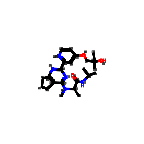 CC(C)NC(=O)[C@@H](C)N(C)c1nc(-c2cc(OCC(C)(C)O)ccn2)nc2c1CCC2